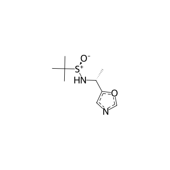 C[C@@H](N[S@+]([O-])C(C)(C)C)c1cnco1